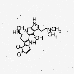 CNCCc1c(-c2ccc3[nH]cc(CCN(C)C)c3c2O)[nH]c2c1C(=O)C(=O)C=C2